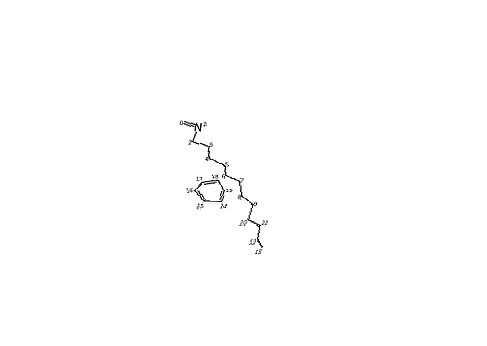 C=NCCCCCCCCCCCC.c1ccccc1